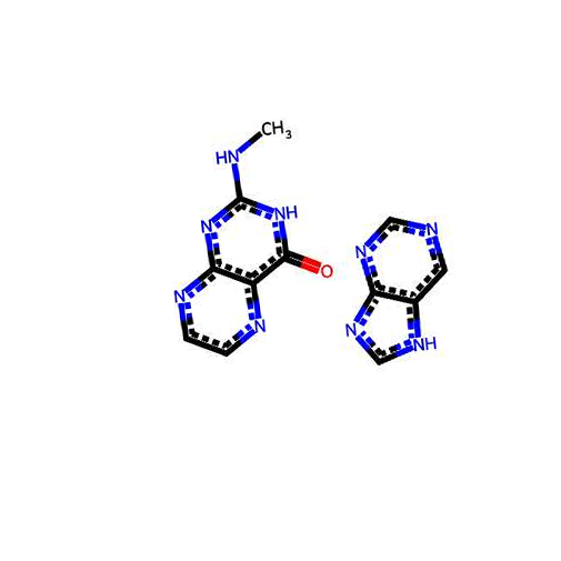 CNc1nc2nccnc2c(=O)[nH]1.c1ncc2[nH]cnc2n1